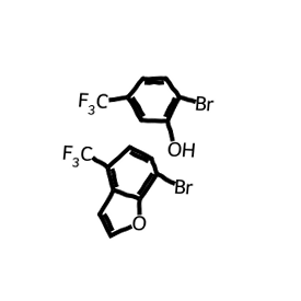 FC(F)(F)c1ccc(Br)c2occc12.Oc1cc(C(F)(F)F)ccc1Br